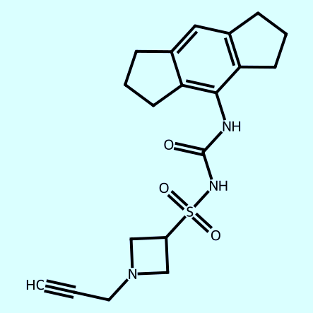 C#CCN1CC(S(=O)(=O)NC(=O)Nc2c3c(cc4c2CCC4)CCC3)C1